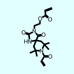 C=CC(=O)OCCN1C(=O)NC2(CC(C)(C)N(C(=O)C=C)C(C)(C)C2)C1=O